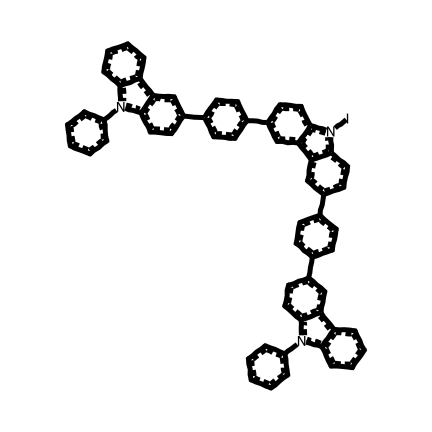 In1c2ccc(-c3ccc(-c4ccc5c(c4)c4ccccc4n5-c4ccccc4)cc3)cc2c2cc(-c3ccc(-c4ccc5c(c4)c4ccccc4n5-c4ccccc4)cc3)ccc21